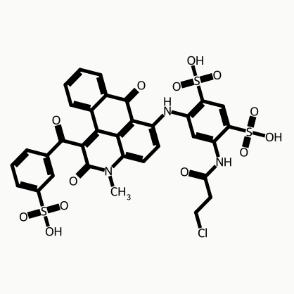 Cn1c(=O)c(C(=O)c2cccc(S(=O)(=O)O)c2)c2c3c(c(Nc4cc(NC(=O)CCCl)c(S(=O)(=O)O)cc4S(=O)(=O)O)ccc31)C(=O)c1ccccc1-2